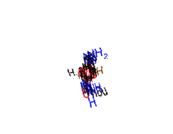 CCCCNc1nc2c(ncn2[C@H]2C[C@@H]3OP(C)(=O)OC[C@H]4O[C@@H](n5cnc6c(N)ncnc65)C[C@@H]4OP(=O)(S)OC[C@H]3O2)c(=O)[nH]1